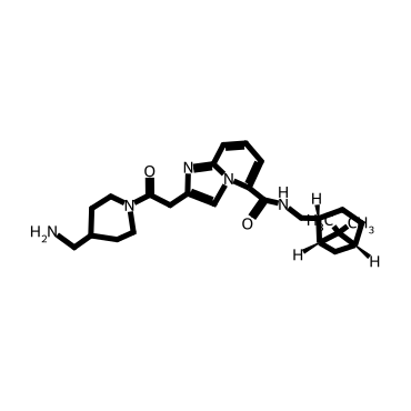 CC1(C)[C@@H]2CC[C@@H](CNC(=O)c3cccc4nc(CC(=O)N5CCC(CN)CC5)cn34)[C@H]1C2